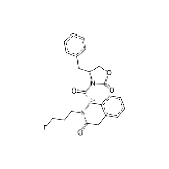 O=C1OCC(Cc2ccccc2)N1C(=O)[C@@H]1c2ccccc2CC(=O)N1CCCF